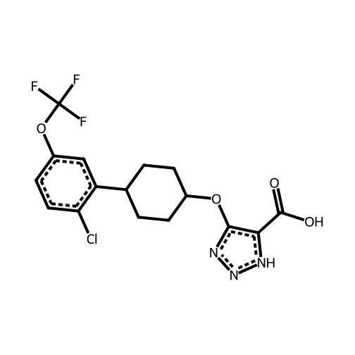 O=C(O)c1[nH]nnc1OC1CCC(c2cc(OC(F)(F)F)ccc2Cl)CC1